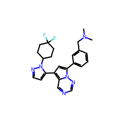 CN(C)Cc1cccc(-c2cc(-c3ccnn3C3CCC(F)(F)CC3)c3cncnn23)c1